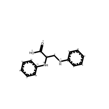 O=C(O)C(CNc1ccccc1)Nc1ccccc1